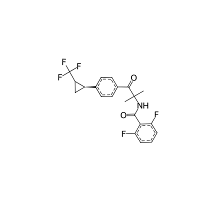 CC(C)(NC(=O)c1c(F)cccc1F)C(=O)c1ccc([C@H]2CC2C(F)(F)F)cc1